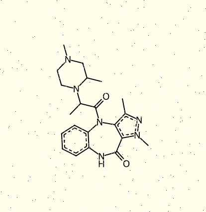 Cc1nn(C)c2c1N(C(=O)C(C)N1CCN(C)CC1C)c1ccccc1NC2=O